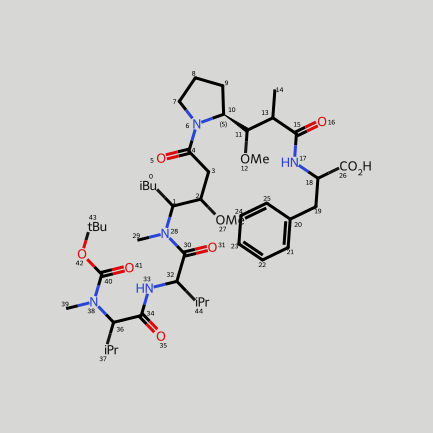 CCC(C)C(C(CC(=O)N1CCC[C@H]1C(OC)C(C)C(=O)NC(Cc1ccccc1)C(=O)O)OC)N(C)C(=O)C(NC(=O)C(C(C)C)N(C)C(=O)OC(C)(C)C)C(C)C